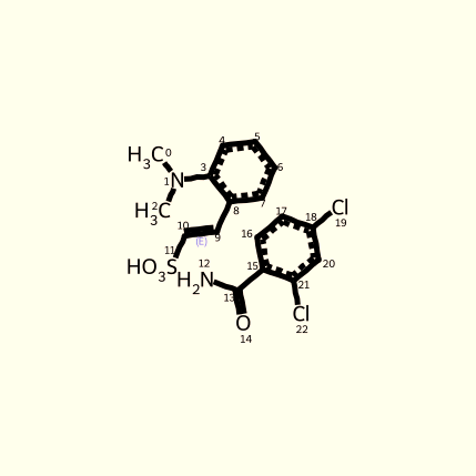 CN(C)c1ccccc1/C=C/S(=O)(=O)O.NC(=O)c1ccc(Cl)cc1Cl